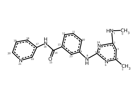 CNc1cc(C)nc(Nc2cccc(C(=O)Nc3cccnc3)c2)n1